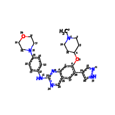 CN1CCC(Oc2cc3nc(Nc4ccc(N5CCOCC5)cc4)ncc3cc2-c2cn[nH]c2)CC1